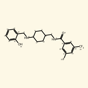 O=C(NCC1CCC(NCc2ccccc2O)CC1)c1cc(F)cc(C(F)(F)F)c1